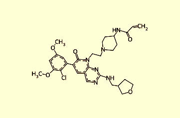 C=CC(=O)NC1CCN(CCn2c(=O)c(-c3cc(OC)cc(OC)c3Cl)cc3cnc(NCC4CCOC4)nc32)CC1